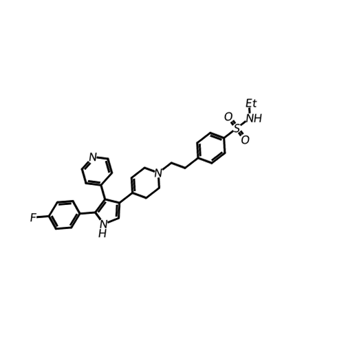 CCNS(=O)(=O)c1ccc(CCN2CC=C(c3c[nH]c(-c4ccc(F)cc4)c3-c3ccncc3)CC2)cc1